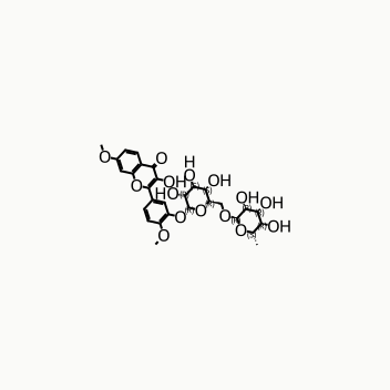 COc1ccc2c(=O)c(O)c(-c3ccc(OC)c(O[C@H]4O[C@H](CO[C@@H]5O[C@@H](C)[C@H](O)[C@@H](O)[C@H]5O)[C@@H](O)[C@H](O)[C@H]4O)c3)oc2c1